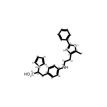 Cc1oc(-c2ccccc2)nc1CCNc1ccc(CC(C(=O)O)n2cccc2)cc1